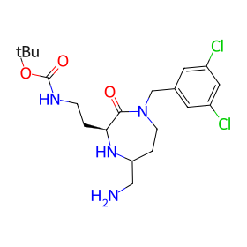 CC(C)(C)OC(=O)NCC[C@@H]1NC(CN)CCN(Cc2cc(Cl)cc(Cl)c2)C1=O